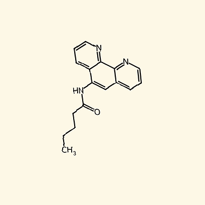 CCCCC(=O)Nc1cc2cccnc2c2ncccc12